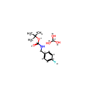 CC(C)(C)OC(=O)NCc1ccc(F)cc1.OB(O)O